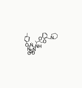 Cc1ccc(OC2=NS(=O)(=O)N=C(NC(C)C3COc4c(CN5CCCCC5)cccc4O3)N2C)cc1